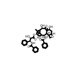 CC(=O)O[C@@]12CO[C@@H]1C[C@H](O)C1(C)C(=O)[C@H](O)C3=C(C)[C@@H](OC(=O)[C@H](O)[C@@H](NC(=O)c4ccccc4)c4ccccc4)C[C@](O)([C@@H](OC(=O)c4ccccc4)[C@@H]12)C3(C)C